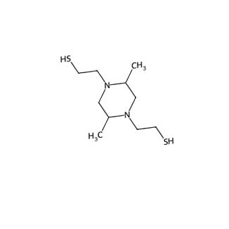 CC1CN(CCS)C(C)CN1CCS